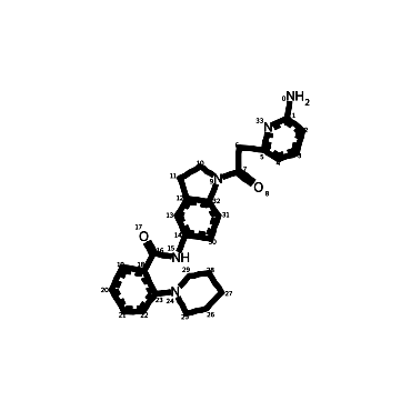 Nc1cccc(CC(=O)N2CCc3cc(NC(=O)c4ccccc4N4CCCCC4)ccc32)n1